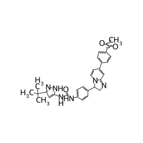 CC(C)(C)c1cc(NC(=O)Nc2ccc(C3CN=C4C=C(c5ccc(S(C)(=O)=O)cc5)C=CN43)cc2)[nH]n1